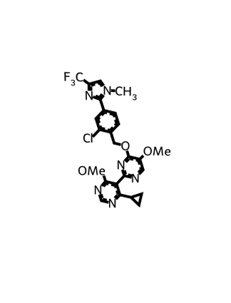 COc1cnc(-c2c(OC)ncnc2C2CC2)nc1OCc1ccc(-c2nc(C(F)(F)F)cn2C)cc1Cl